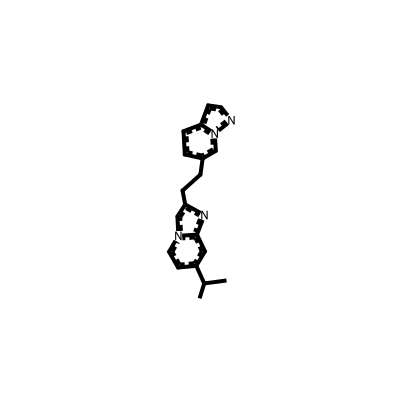 CC(C)c1ccn2cc(CCc3ccc4ccnn4c3)nc2c1